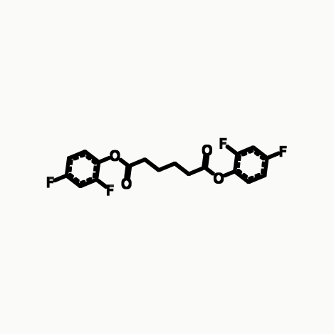 O=C(CCCCC(=O)Oc1ccc(F)cc1F)Oc1ccc(F)cc1F